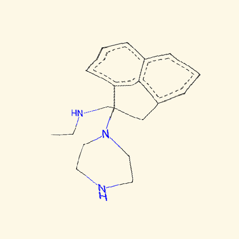 CCNC1(N2CCNCC2)Cc2cccc3cccc1c23